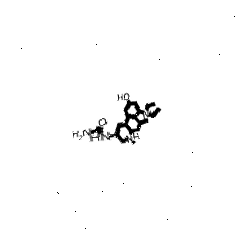 CC[N+]1(CC)C=C2C[C@@H]3C(C[C@H](NC(N)=O)CN3C)c3cc(O)cc1c32